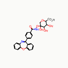 O=C(NOC1(O)COC(C(=O)O)C(O)C1O)c1ccc(C2=Nc3ccccc3Oc3ccccc32)cc1